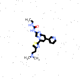 CCNC(=O)Nc1cn2c(-c3nc(CCN(C)C)cs3)cc(-c3cccnc3)cc2n1